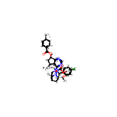 CCC(=O)[C@@]12CC[C@@H](CN(c3ncnc4c3C(C)CC4OC(=O)c3ccc([N+](=O)[O-])cc3)C1c1ccc(Cl)cc1)N2N(C(=O)OC(C)(C)C)C(C)C